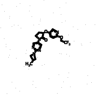 CC1CN(c2ncc(N3CC[C@@H](Oc4ccc(OCC(F)(F)F)nc4)C3=O)cn2)C1